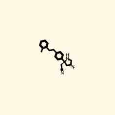 Cc1ccccc1CCc1ccc([C@@]2(CC#N)C[C@H](F)CN2)cc1